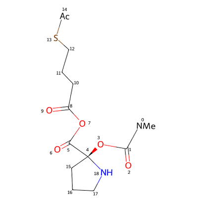 CNC(=O)O[C@]1(C(=O)OC(=O)CCCSC(C)=O)CCCN1